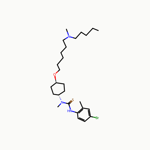 CCCCCN(C)CCCCCCO[C@H]1CC[C@H](N(C)C(=S)Nc2ccc(Br)cc2C)CC1